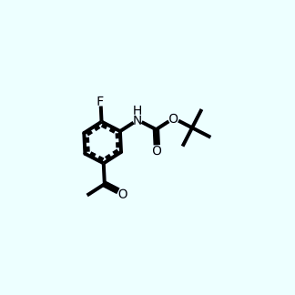 CC(=O)c1ccc(F)c(NC(=O)OC(C)(C)C)c1